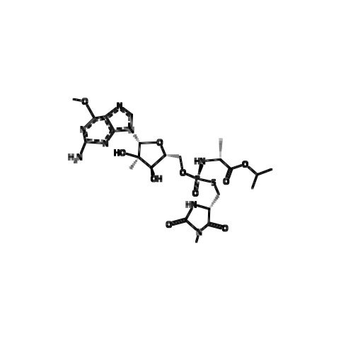 COc1nc(N)nc2c1ncn2[C@@H]1O[C@H](CO[P@](=O)(N[C@H](C)C(=O)OC(C)C)SC[C@H]2NC(=O)N(C)C2=O)[C@@H](O)[C@@]1(C)O